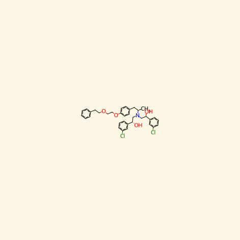 C[C@H](Cc1ccc(OCCOCCc2ccccc2)cc1)N(C[C@@H](O)c1cccc(Cl)c1)C[C@H](O)c1cccc(Cl)c1